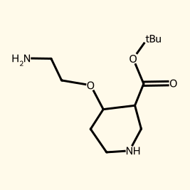 CC(C)(C)OC(=O)C1CNCCC1OCCN